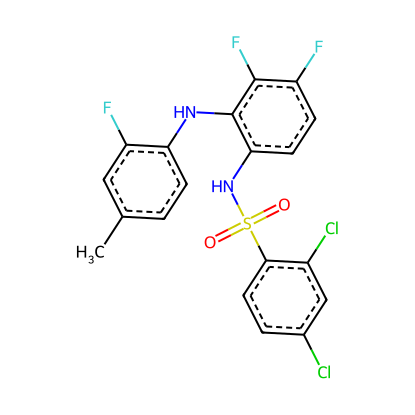 Cc1ccc(Nc2c(NS(=O)(=O)c3ccc(Cl)cc3Cl)ccc(F)c2F)c(F)c1